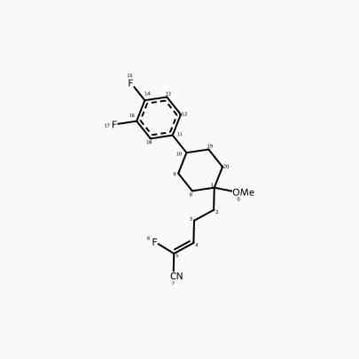 COC1(CCC=C(F)C#N)CCC(c2ccc(F)c(F)c2)CC1